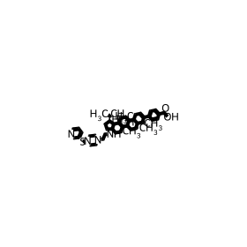 C=C(C)[C@@H]1CC[C@]2(NCCN3CCN(Sc4cccnc4)CC3)CC[C@]3(C)[C@H](CCC4[C@@]5(C)CC=C(c6ccc(C(=O)O)cc6)C(C)(C)C5CC[C@]43C)C12